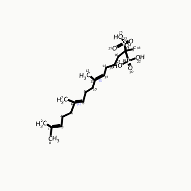 CC(C)=CCC/C(C)=C/CC/C(C)=C/CCCC(F)(P(=O)(O)O)S(=O)(=O)O